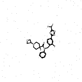 O=C(N(Cc1ccc(-c2nnc(C(F)F)o2)cc1F)c1ccccc1)C1(F)CCN(C2COC2)CC1